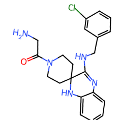 NCC(=O)N1CCC2(CC1)Nc1ccccc1N=C2NCc1cccc(Cl)c1